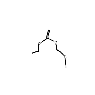 C=C(OCC)OCOI